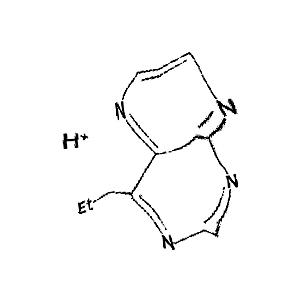 [CH2]Cc1ncnc2nccnc12.[H+]